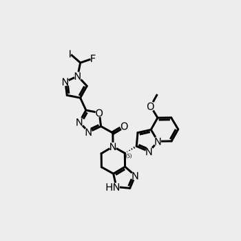 COc1cccn2nc([C@@H]3c4nc[nH]c4CCN3C(=O)c3nnc(-c4cnn(C(F)I)c4)o3)cc12